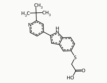 CC(C)(C)c1cc(-c2cc3cc(SCC(=O)O)ccc3[nH]2)ccn1